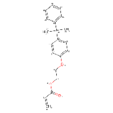 C=CC(=O)OCCOc1ccc(C(C)(C)c2ccccc2)cc1